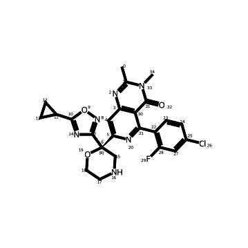 Cc1nc2cc([C@@]3(c4noc(C5CC5)n4)CNCCO3)nc(-c3ccc(Cl)cc3F)c2c(=O)n1C